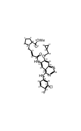 COC(=O)[C@@H]1CCCN1CC=CC(=O)Nc1cc2c(Nc3ccc(F)c(Cl)c3)ncnc2cc1OCC1CC1